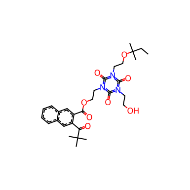 CCC(C)(C)OCCn1c(=O)n(CCO)c(=O)n(CCOC(=O)c2cc3ccccc3cc2C(=O)C(C)(C)C)c1=O